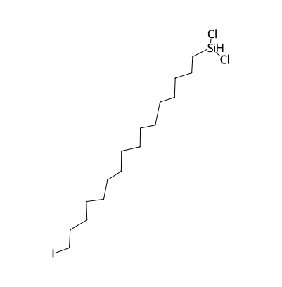 Cl[SiH](Cl)CCCCCCCCCCCCCCCCI